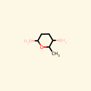 BC1CCC(B)C(C)O1